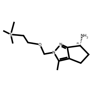 Cc1c2c(nn1COCCS(C)(C)C)[C@H](N)CC2